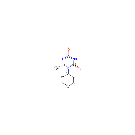 Cc1nc(=O)[nH]c(=O)n1C1CCCCC1